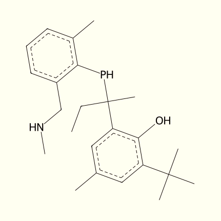 CCC(C)(Pc1c(C)cccc1CNC)c1cc(C)cc(C(C)(C)C)c1O